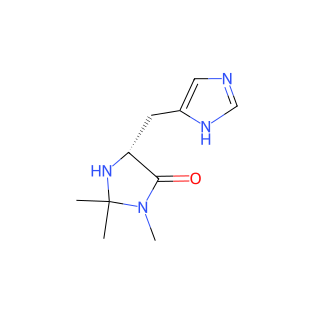 CN1C(=O)[C@@H](Cc2cnc[nH]2)NC1(C)C